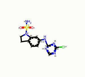 NS(=O)(=O)N1CCc2ccc(Nc3ncnc(Cl)n3)cc21